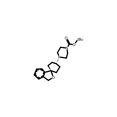 CC(C)(C)OC(=O)N1CCN([C@H]2CC[C@@]3(CC2)OCc2ccccc23)CC1